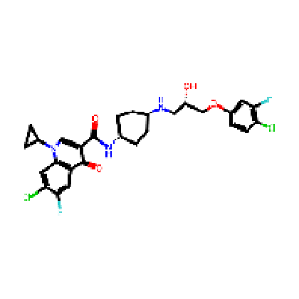 O=C(N[C@H]1CC[C@H](NC[C@H](O)COc2ccc(Cl)c(F)c2)CC1)c1cn(C2CC2)c2cc(Cl)c(F)cc2c1=O